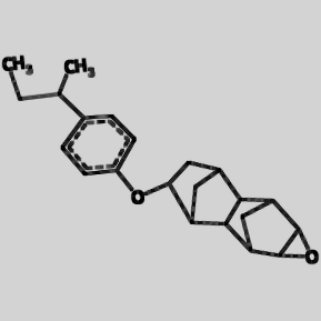 CCC(C)c1ccc(OC2CC3CC2C2C4CC(C5OC45)C32)cc1